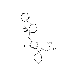 CC[C@@H](O)CNC1(c2ccc(CN3[C@@H](C)CC[C@H](c4ccccc4)S3(=O)=O)c(F)c2)CCOCC1